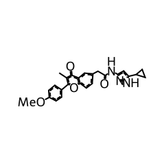 COc1ccc(-c2oc3ccc(CC(=O)Nc4cc(C5CC5)[nH]n4)cc3c(=O)c2C)cc1